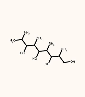 CC(N)C(O)C(N)C(O)C(N)C(O)C(N)CO